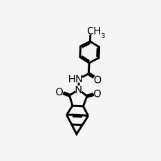 Cc1ccc(C(=O)NN2C(=O)C3C4C=CC(C5CC45)C3C2=O)cc1